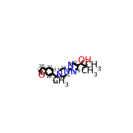 CC(C)C(O)c1cnc(N2CCN(C(C)C3=CC4OCCC4C=C3)CC2)nc1